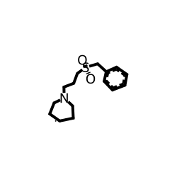 O=S(=O)(CCCN1CC[CH]CC1)Cc1ccccc1